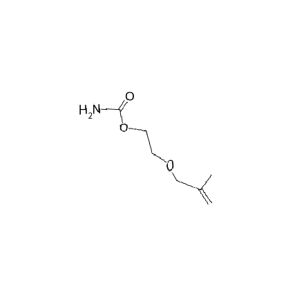 C=C(C)COCCOC(N)=O